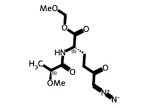 COCOC(=O)[C@H](CCC(=O)C=[N+]=[N-])NC(=O)[C@H](C)OC